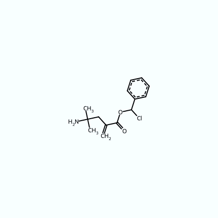 C=C(CC(C)(C)N)C(=O)OC(Cl)c1ccccc1